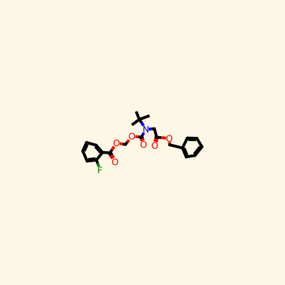 CC(C)(C)N(CC(=O)OCc1ccccc1)C(=O)OCOC(=O)c1ccccc1F